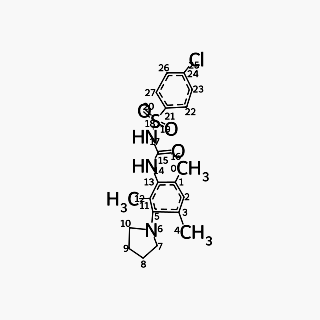 Cc1cc(C)c(N2CCCC2)c(C)c1NC(=O)NS(=O)(=O)c1ccc(Cl)cc1